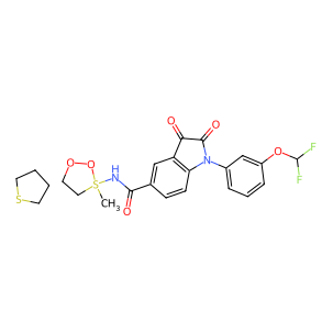 C1CCSC1.CS1(NC(=O)c2ccc3c(c2)C(=O)C(=O)N3c2cccc(OC(F)F)c2)CCOO1